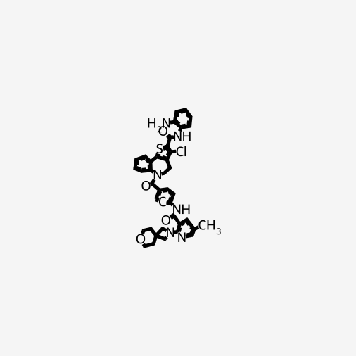 Cc1cnc(N2CC3(CCOCC3)C2)c(C(=O)Nc2ccc(C(=O)N3CCc4c(sc(C(=O)Nc5ccccc5N)c4Cl)-c4ccccc43)cc2)c1